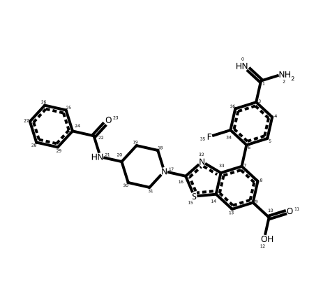 N=C(N)c1ccc(-c2cc(C(=O)O)cc3sc(N4CCC(NC(=O)c5ccccc5)CC4)nc23)c(F)c1